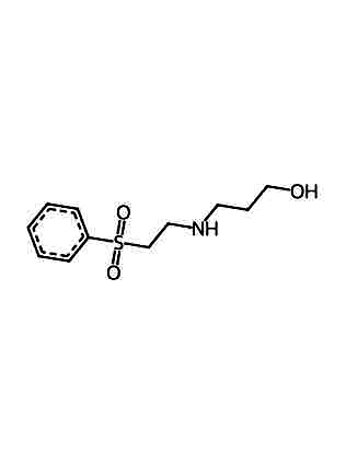 O=S(=O)(CCNCCCO)c1ccccc1